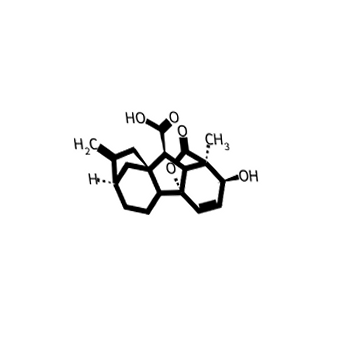 C=C1C[C@]23C[C@H]1CCC2[C@@]12C=C[C@H](O)[C@](C)(C(=O)O1)C2[C@@H]3C(=O)O